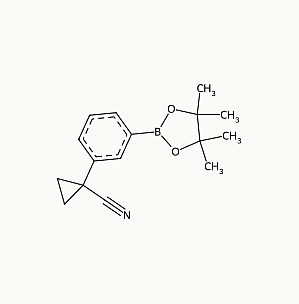 CC1(C)OB(c2cccc(C3(C#N)CC3)c2)OC1(C)C